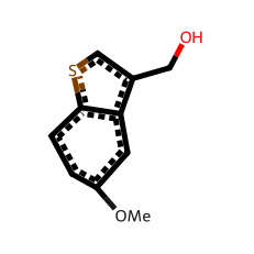 COc1ccc2scc(CO)c2c1